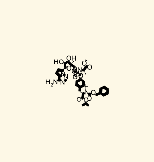 COC(=O)[C@H](C)NP(=O)(OC[C@@]1(C)O[C@@H](c2ccc3c(N)ncnn23)[C@H](O)[C@@H]1O)Oc1ccc(C[C@H](NC(=O)OCc2ccccc2)C(=O)OC(C)C)cc1